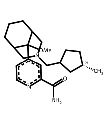 COC1(c2ccnc(C(N)=O)c2)C2CCCC1CN(CC1CC[C@H](C)C1)C2